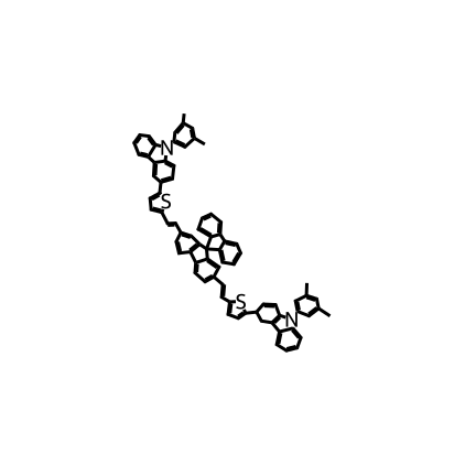 Cc1cc(C)cc(-n2c3c(c4ccccc42)CC(c2ccc(/C=C/c4ccc5c(c4)C4(c6ccccc6-c6ccccc64)c4cc(/C=C/c6ccc(-c7ccc8c(c7)c7ccccc7n8-c7cc(C)cc(C)c7)s6)ccc4-5)s2)C=C3)c1